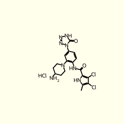 Cc1[nH]c(C(=O)Nc2ccc(-n3nn[nH]c3=O)cc2N2CCC(N)CC2)c(Cl)c1Cl.Cl